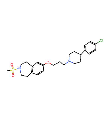 CS(=O)(=O)N1CCc2ccc(OCCCN3CCC(c4ccc(Cl)cc4)CC3)cc2CC1